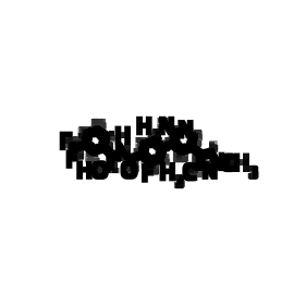 Cc1nn(C)cc1-c1cnc(N)c(-c2ccc(C(=O)NC(CO)c3cccc(C(F)F)c3)c(F)c2)c1